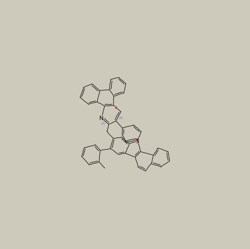 C/C=C(\C(Cc1cc2sc3c4ccccc4ccc3c2cc1-c1ccccc1C)=N/c1c(C)c2ccccc2c2ccccc12)c1ccccc1